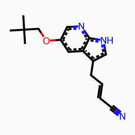 CC(C)(C)COc1cnc2[nH]cc(CC=CC#N)c2c1